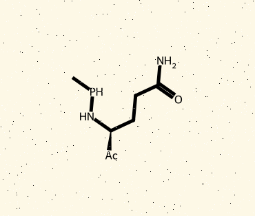 CPN[C@@H](CCC(N)=O)C(C)=O